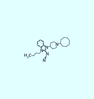 CCCCn1/c(=N\C#N)n(C2CCN(C3CCCCCCC3)CC2)c2ccccc21